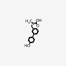 CN(Cc1cccc(-c2ccc(O)cc2)c1)C(=O)O